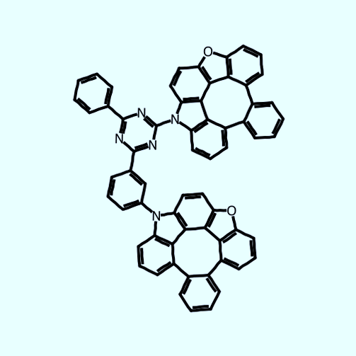 c1ccc(-c2nc(-c3cccc(-n4c5cccc6c7ccccc7c7cccc8oc9ccc4c(c9c87)c65)c3)nc(-n3c4cccc5c6ccccc6c6cccc7oc8ccc3c(c8c76)c54)n2)cc1